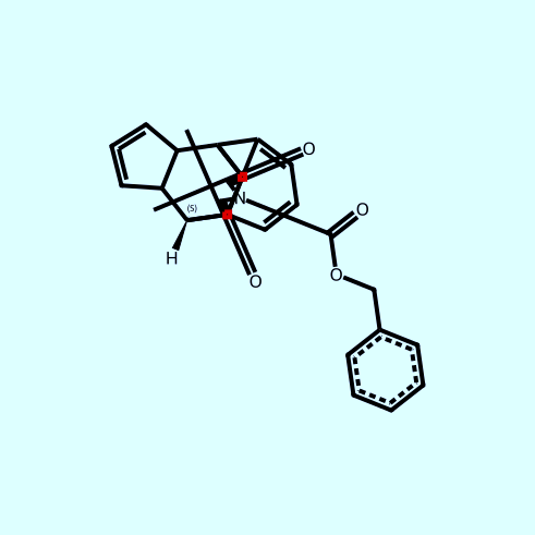 O=C(OCc1ccccc1)N1C(=O)C2C(C1=O)C13C4=CC=CC(C41)[C@H]2C1C=C=CC13